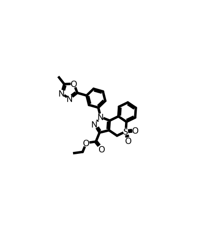 CCOC(=O)c1nn(-c2cccc(-c3nnc(C)o3)c2)c2c1CS(=O)(=O)c1ccccc1-2